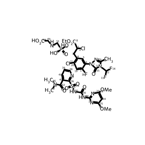 CCOC(=O)C(Cl)Cc1cc(-n2nc(C)n(C(F)F)c2=O)c(F)cc1Cl.COc1cc(OC)nc(NC(=O)NS(=O)(=O)c2ncccc2C(=O)N(C)C)n1.O=C(O)CNCP(=O)(O)O